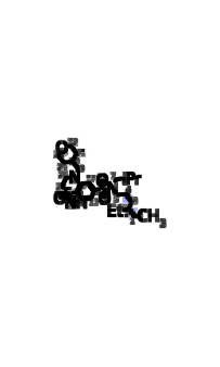 C/C=C(\C=C/CN(CC(C)C)S(=O)(=O)c1ccc2c(c1)N(CC1CCOCC1)CCS2(=N)=O)CC